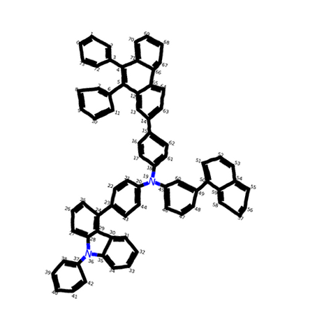 c1ccc(-c2c(-c3ccccc3)c3cc(-c4ccc(N(c5ccc(-c6cccc7c6c6ccccc6n7-c6ccccc6)cc5)c5cccc(-c6cccc7ccccc67)c5)cc4)ccc3c3ccccc23)cc1